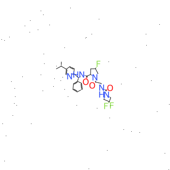 CC(C)c1ccc(C(NC(=O)C2CC(F)CN2C(=O)CNC(=O)N2CC(F)(F)C2)c2ccccc2)nc1